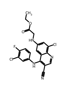 CCOC(=O)CNc1cc(Cl)c2ncc(C#N)c(Nc3ccc(F)c(Cl)c3)c2c1